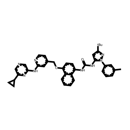 Cc1cccc(-n2nc(C(C)(C)C)cc2NC(=O)Nc2ccc(OCc3ccnc(Nc4cncc(C5CC5)n4)c3)c3ccccc23)c1